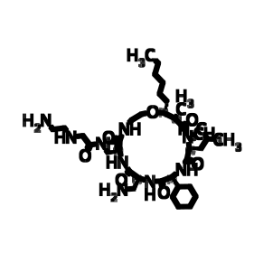 CCCCCC[C@H]1OCCNC(=O)[C@H](CNC(=O)CNCCN)NC(=O)[C@H](CN)NC(=O)[C@H](C2CCCCC2)NC(=O)[C@H](CC(C)C)N(C)C(=O)[C@@H]1C